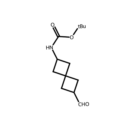 CC(C)(C)OC(=O)NC1CC2(CC(C=O)C2)C1